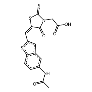 CC(=O)Nc1ccc2sc(C=C3SC(=S)N(CC(=O)O)C3=O)cc2c1